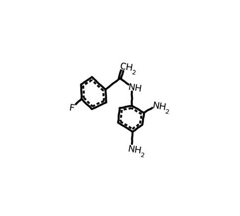 C=C(Nc1ccc(N)cc1N)c1ccc(F)cc1